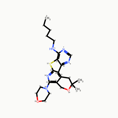 CCCCCNc1ncnc2c1sc1nc(N3CCOCC3)c3c(c12)CC(C)(C)OC3